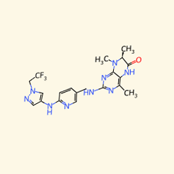 Cc1nc(NCc2ccc(Nc3cnn(CC(F)(F)F)c3)nc2)nc2c1NC(=O)[C@H](C)N2C